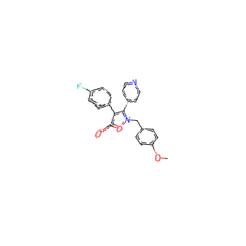 COc1ccc(Cn2oc(=O)c(-c3ccc(F)cc3)c2-c2ccncc2)cc1